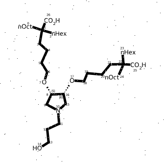 CCCCCCCCC(CCCCCC)(CCCCO[C@H]1CN(CCCO)C[C@H]1OCCCCC(CCCCCC)(CCCCCCCC)C(=O)O)C(=O)O